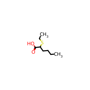 CCCCC(SCC)C(=O)O